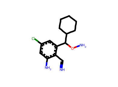 N=Cc1c(N)cc(Cl)cc1C(ON)C1CCCCC1